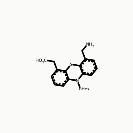 CCCCCCN1c2cccc(CN)c2Sc2c(CC(=O)O)cccc21